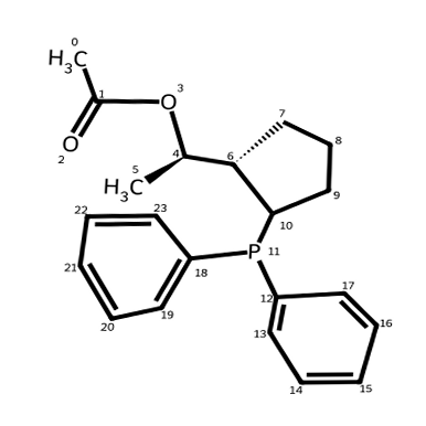 CC(=O)O[C@H](C)[C@@H]1CCCC1P(c1ccccc1)c1ccccc1